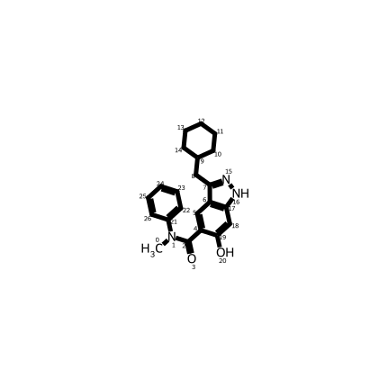 CN(C(=O)c1cc2c(CC3CCCCC3)n[nH]c2cc1O)c1ccccc1